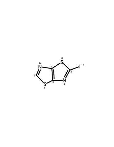 Ic1nc2scnc2s1